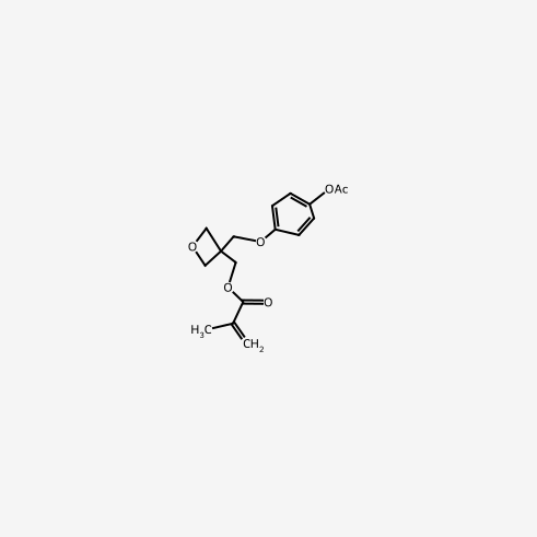 C=C(C)C(=O)OCC1(COc2ccc(OC(C)=O)cc2)COC1